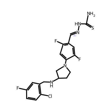 NC(=S)N/N=C/c1cc(F)c(N2CCC(NCc3cc(F)ccc3Cl)C2)cc1F